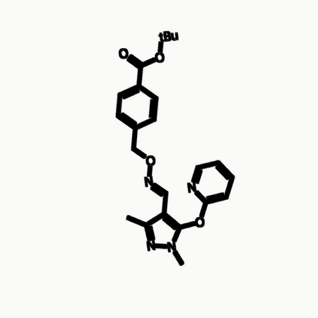 Cc1nn(C)c(Oc2ccccn2)c1/C=N/OCc1ccc(C(=O)OC(C)(C)C)cc1